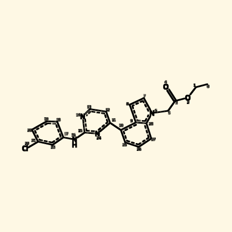 CCOC(=O)Cn1ccc2c(-c3ccnc(Nc4cccc(Cl)c4)n3)cccc21